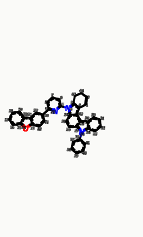 C1=Cc2c(n(-c3cccc(-c4ccc5oc6ccccc6c5c4)n3)c3ccc4c(c5ccccc5n4-c4ccccc4)c23)CC1